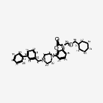 O=c1oc2c(N3CCN(Cc4cccc(-c5ccccc5)c4)CC3)cccc2n1COCC1CCCCC1